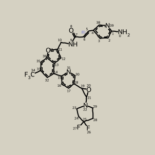 Nc1ccc(/C=C/C(=O)NCc2cc3c(-c4ccc(C5OC5N5CCC(F)(F)CC5)cn4)cc(C(F)(F)F)cc3o2)cn1